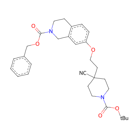 CC(C)(C)OC(=O)N1CCC(C#N)(CCOc2ccc3c(c2)CN(C(=O)OCc2ccccc2)CC3)CC1